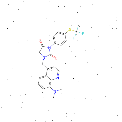 CN(C)c1cccc2c(CN3CC(=O)N(c4ccc(SC(F)(F)F)cc4)C3=O)ccnc12